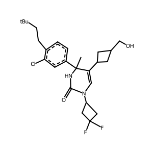 CC(C)(C)CCc1ccc(C2(C)NC(=O)N(C3CC(F)(F)C3)C=C2C2CC(CO)C2)cc1Cl